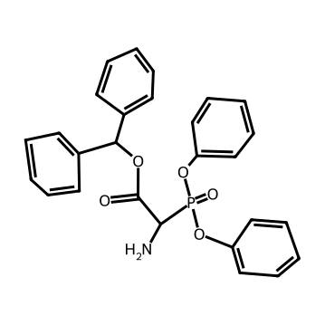 NC(C(=O)OC(c1ccccc1)c1ccccc1)P(=O)(Oc1ccccc1)Oc1ccccc1